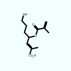 C=C(C)C(=O)OC(C=C(C)C(=O)O)CCCO